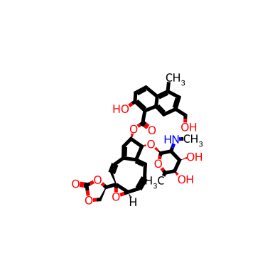 CNC1[C@H](O[C@@H]2/C3=C/C#C[C@H]4O[C@@]4([C@H]4COC(=O)O4)C#CC3=C[C@H]2OC(=O)c2c(O)ccc3c(C)cc(CO)cc23)OC(C)[C@H](O)[C@H]1O